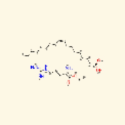 CCCCCCCC/C=C\CCCCCCCC(=O)O.CCOC(=O)[C@@H](N)CCCNC(=N)N